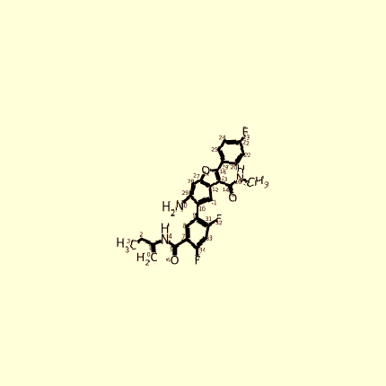 C=C(CC)NC(=O)c1cc(-c2cc3c(C(=O)NC)c(-c4ccc(F)cc4)oc3cc2N)c(F)cc1F